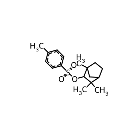 Cc1ccc(S(=O)(=O)OC2C3(C)CCC(C3)C2(C)C)cc1